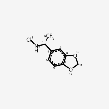 FC(F)(F)[C@@H](NCl)c1ccc2c(c1)OCO2